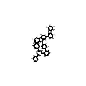 c1ccc(-c2nc(-c3ccccc3)nc(-c3ccccc3-c3ccc(-n4c5ccccc5c5ccc(-c6cccc7c6oc6ccccc67)cc54)cc3)n2)cc1